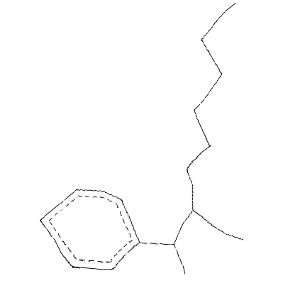 CCCCCCC(C)C(C)c1ccccc1